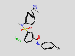 C[C@@H](N)c1ccc(N(C)S(=O)(=O)c2cccc(C(=O)Nc3ccc(C#N)cc3)c2)cc1.Cl